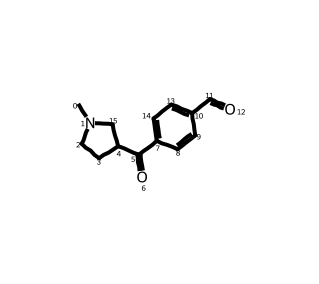 CN1CCC(C(=O)c2ccc(C=O)cc2)C1